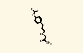 NC(=O)CNCCCc1ccc(OC(F)F)cc1